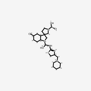 CC[C@H](O)N1CCC2(CN(C(O)NC3=NC(CN4CCCCC4)CS3)C3CCC(Cl)CC32)C1